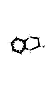 [CH2][C@H]1COc2ccccc2O1